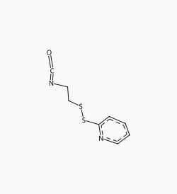 O=C=NCCSSc1ccccn1